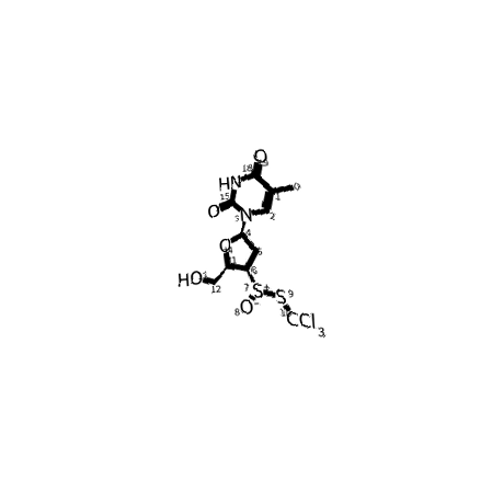 Cc1cn([C@H]2C[C@@H]([S+]([O-])SC(Cl)(Cl)Cl)[C@@H](CO)O2)c(=O)[nH]c1=O